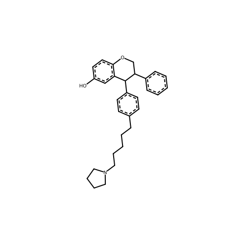 Oc1ccc2c(c1)C(c1ccc(CCCCCN3CCCC3)cc1)C(c1ccccc1)CO2